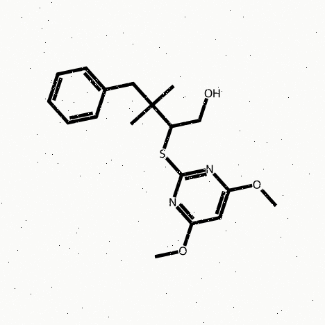 COc1cc(OC)nc(SC(CO)C(C)(C)Cc2ccccc2)n1